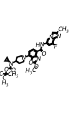 COc1nc2c(C(=O)Nc3cc(F)c4nc(C)cn4c3)ccc(N3CCC(N(C(=O)OC(C)(C)C)C4CC4)CC3)c2o1